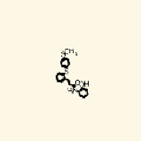 COc1ccc(Sc2ccccc2/C=C/C(=O)NC2CCCCC2O)cc1